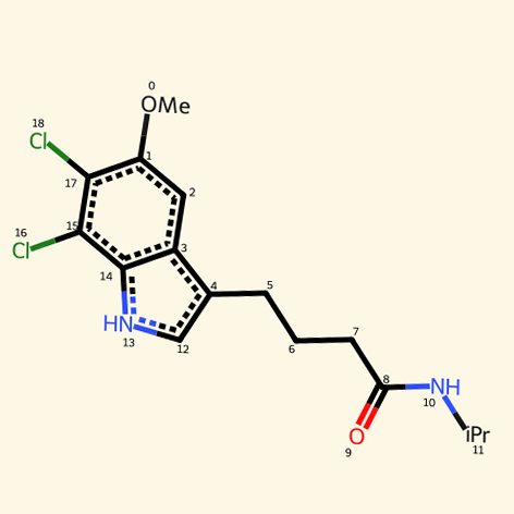 COc1cc2c(CCCC(=O)NC(C)C)c[nH]c2c(Cl)c1Cl